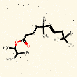 CCCCCC(CCC)C(C)OC(=O)CCCC(C)(/C=C/CC(C)(C)CC)CC